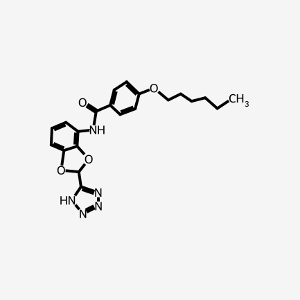 CCCCCCOc1ccc(C(=O)Nc2cccc3c2OC(c2nnn[nH]2)O3)cc1